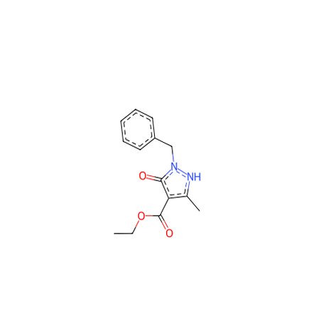 CCOC(=O)c1c(C)[nH]n(Cc2ccccc2)c1=O